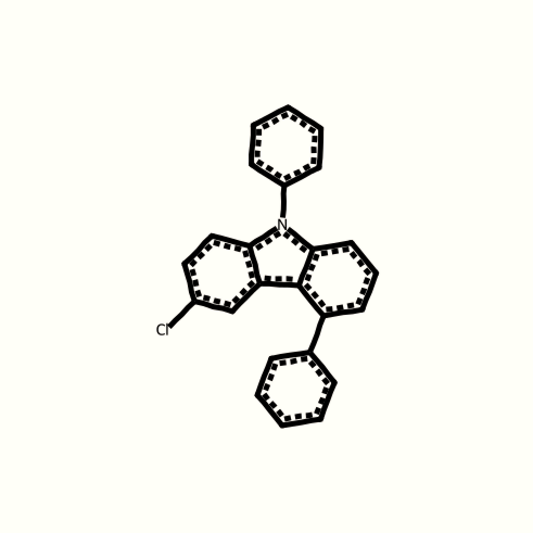 Clc1ccc2c(c1)c1c(-c3ccccc3)cccc1n2-c1ccccc1